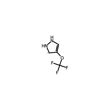 FC(F)(F)OC1=CNN[C]1